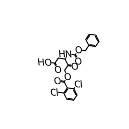 O=C(O)CC(NC(=O)OCc1ccccc1)C(=O)COC(=O)c1c(Cl)cccc1Cl